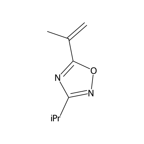 C=C(C)c1nc(C(C)C)no1